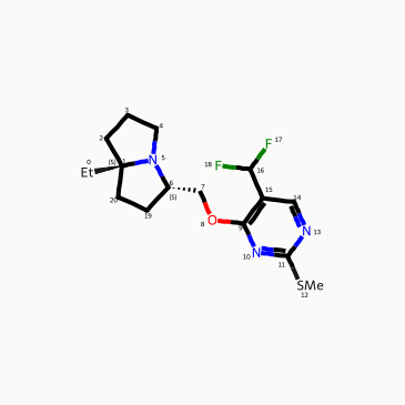 CC[C@@]12CCCN1[C@H](COc1nc(SC)ncc1C(F)F)CC2